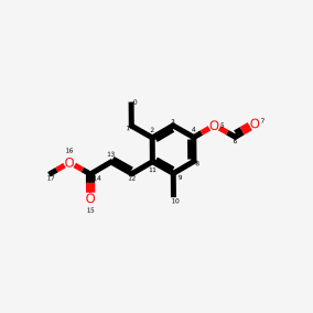 CCc1cc(OC=O)cc(C)c1C=CC(=O)OC